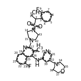 C=CC(c1ccccc1F)S(=O)(=O)N1CCN(c2nc3cccc(F)c3c(Nc3cncc(N4CCOCC4)c3)c2C)CC1